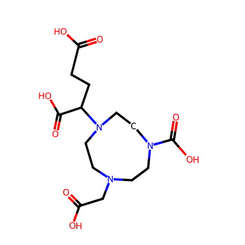 O=C(O)CCC(C(=O)O)N1CCN(CC(=O)O)CCN(C(=O)O)CC1